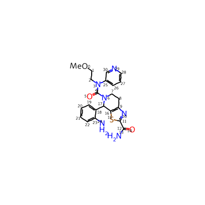 COCCN(C(=O)N1CCc2nc(C(N)=O)sc2C1c1ccccc1N)c1cccnc1